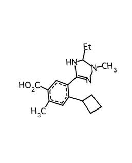 CCC1NC(c2cc(C(=O)O)c(C)cc2C2CCC2)=NN1C